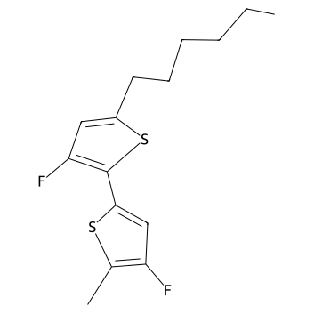 CCCCCCc1cc(F)c(-c2cc(F)c(C)s2)s1